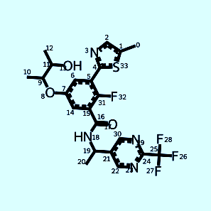 Cc1cnc(-c2cc(OC(C)C(C)O)cc(C(=O)NC(C)c3cnc(C(F)(F)F)nc3)c2F)s1